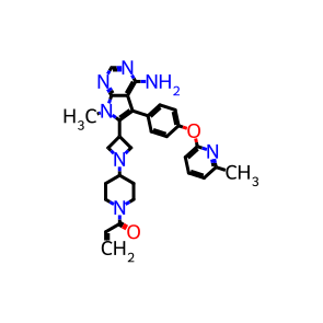 C=CC(=O)N1CCC(N2CC(c3c(-c4ccc(Oc5cccc(C)n5)cc4)c4c(N)ncnc4n3C)C2)CC1